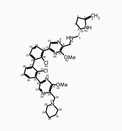 C=C1CC[C@@H](CNCc2ncc(-c3cccc(-c4cccc(-c5cnc(CN6CCCCC6)c(OC)n5)c4Cl)c3Cl)nc2OC)N1